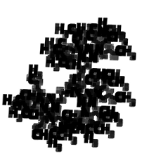 CCCCN(c1nc(CCCCC(CCCCc2nc(N(CCCC)C3CC(C)(C)NC(C)(C)C3)nc(N(CCCC)C3CC(C)(C)NC(C)(C)C3)n2)CNc2nc(N(CCCC)C3CC(C)(C)CC(C)(C)C3)nc(N(CCCC)C3CC(C)(C)CC(C)(C)C3)n2)nc(N(CCCC)C2CC(C)(C)NC(C)(C)C2)n1)C1CC(C)(C)NC(C)(C)C1